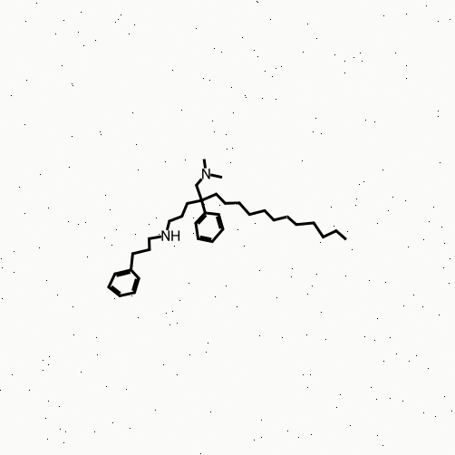 CCCCCCCCCCCCC(CCCNCCCc1ccccc1)(CN(C)C)c1ccccc1